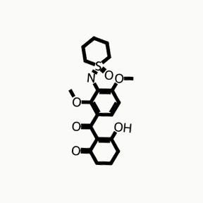 COc1ccc(C(=O)C2=C(O)CCCC2=O)c(OC)c1N=S1(=O)CCCCC1